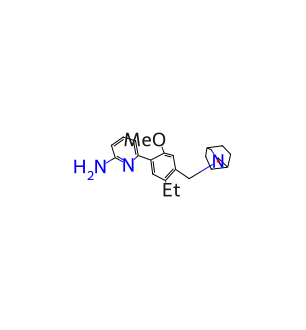 CCc1cc(-c2cccc(N)n2)c(OC)cc1CN1CC2CCC(CC2)C1